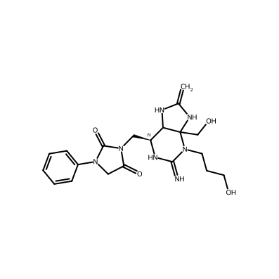 C=C1NC2[C@H](CN3C(=O)CN(c4ccccc4)C3=O)NC(=N)N(CCCO)C2(CO)N1